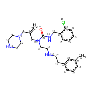 C=C(CN1CCNCC1)CN(CCNCCc1cccc(C)c1)C(=O)NCc1ccccc1Cl